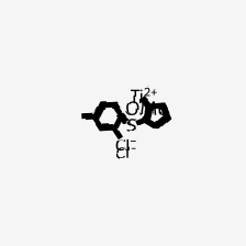 COC1(SC2=[C]([Ti+2])CC=C2)CC=C(C)C=C1C.[Cl-].[Cl-]